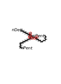 CCCCC/C=C\C/C=C\C/C=C\CCCCC(=O)OC[C@H](COC(=O)CCCCCCCCCCCCCCCCC)OC(=O)CCCCCCC/C=C\C/C=C\CCCCC